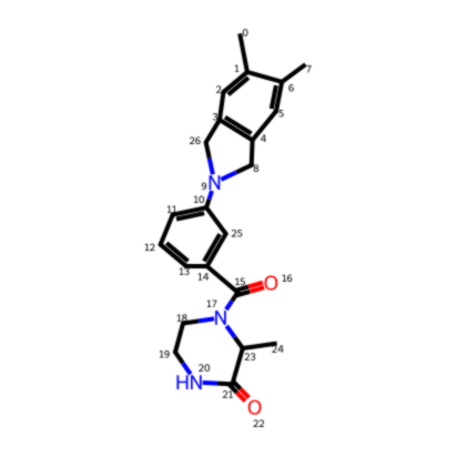 Cc1cc2c(cc1C)CN(c1cccc(C(=O)N3CCNC(=O)C3C)c1)C2